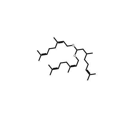 CC(C)=CCC/C(C)=C\COC(CC(C)CCC=C(C)C)OC/C=C(/C)CCC=C(C)C